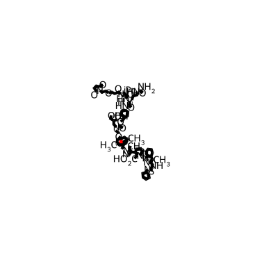 Cc1c(Nc2nc3ccccc3s2)nnc2c1CCCN2c1ccc(-c2cnn(CC34CC5(OCCN(CC(CO)CO)C(=O)OCc6ccc(NC(=O)[C@H](CCCNC(N)=O)NC(=O)[C@@H](NC(=O)CCOCCN7C(=O)C=CC7=O)C(C)C)cc6)C[C@](C)(C3)C[C@](C)(C4)C5)c2C)c(C(=O)O)n1